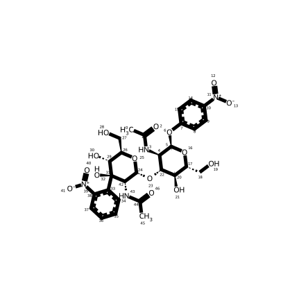 CC(=O)N[C@H]1[C@@H](Oc2ccc([N+](=O)[O-])cc2)O[C@H](CO)[C@@H](O)[C@@H]1O[C@H]1O[C@H](CO)[C@@H](O)[C@@](O)(c2ccccc2[N+](=O)[O-])[C@H]1NC(C)=O